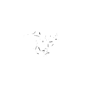 CCOc1cc([C@@H](Nc2cc(C(N)=O)ccc2F)C(=O)N2CCCC2c2cc(NC(=O)N(C)C)ccc2S(=O)(=O)C(C)C)ccc1F